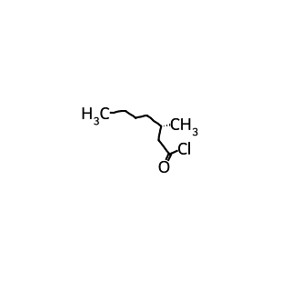 CCCC[C@H](C)CC(=O)Cl